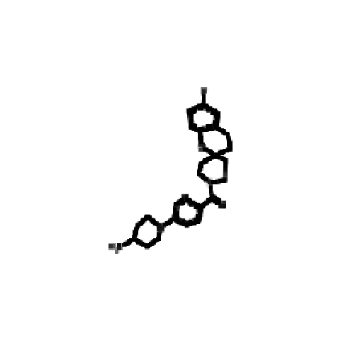 CC1CCN(c2ccc(C(=O)N3CCC4(CCc5cc(F)ccc5O4)CC3)nc2)CC1